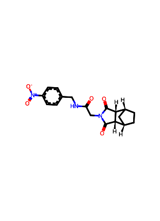 O=C(CN1C(=O)[C@@H]2[C@@H]3CC[C@@H](C3)[C@@H]2C1=O)NCc1ccc([N+](=O)[O-])cc1